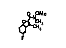 CON(C)C(=O)c1oc2ccc(F)cc2c1C